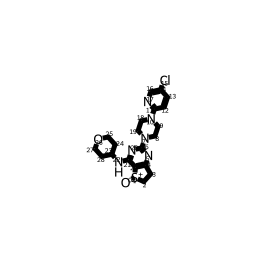 [O-][S+]1CCc2nc(N3CCN(c4ccc(Cl)cn4)CC3)nc(NC3CCOCC3)c21